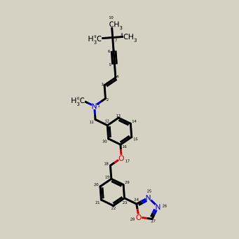 CN(C/C=C/C#CC(C)(C)C)Cc1cccc(OCc2cccc(-c3nnco3)c2)c1